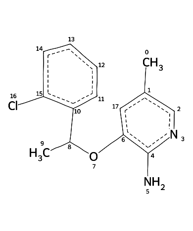 Cc1cnc(N)c(OC(C)c2ccccc2Cl)c1